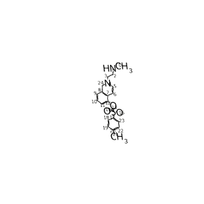 CNCCN1C=Cc2c(cccc2OS(=O)(=O)c2ccc(C)cc2)C1